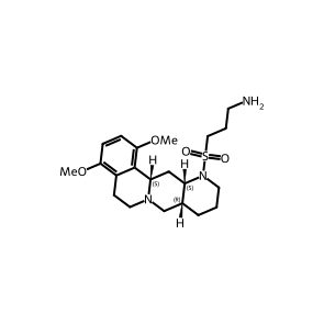 COc1ccc(OC)c2c1CCN1C[C@H]3CCCN(S(=O)(=O)CCCN)[C@H]3C[C@@H]21